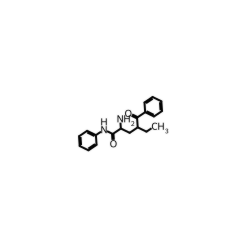 CCC(CC(N)C(=O)Nc1ccccc1)C(=O)c1ccccc1